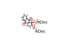 CCCCCCCCCCCCOc1ccc2c(c1OCCCCCCCCCCCC)C(=O)c1ccccc1C2=O